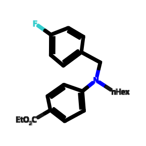 CCCCCCN(Cc1ccc(F)cc1)c1ccc(C(=O)OCC)cc1